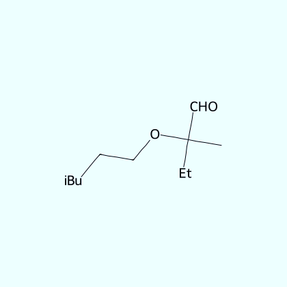 CCC(C)CCOC(C)(C=O)CC